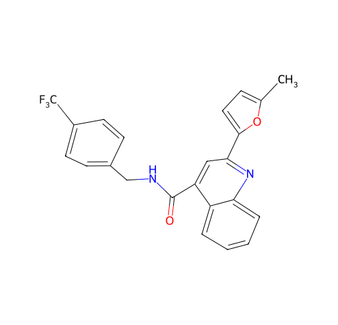 Cc1ccc(-c2cc(C(=O)NCc3ccc(C(F)(F)F)cc3)c3ccccc3n2)o1